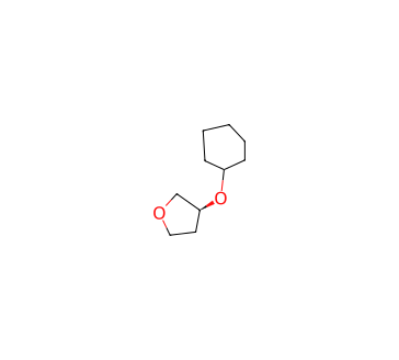 C1CCC(O[C@H]2CCOC2)CC1